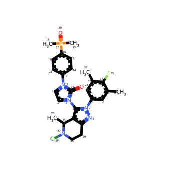 Cc1cc(-n2nc3c(c2-n2ccn(-c4ccc(P(C)(C)=O)cc4)c2=O)C(C)N(Cl)CC3)cc(C)c1F